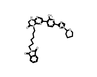 Cc1nc(-c2ncn(C3CCCCO3)n2)ccc1-c1cnc2c(n1)N(CCCCCCN1C(=O)c3ccccc3C1=O)C(=O)CN2